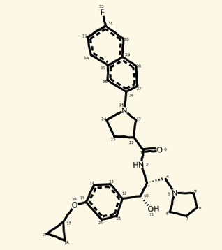 O=C(N[C@H](CN1CCCC1)[C@H](O)c1ccc(OC2CC2)cc1)C1CCN(c2ccc3cc(F)ccc3c2)C1